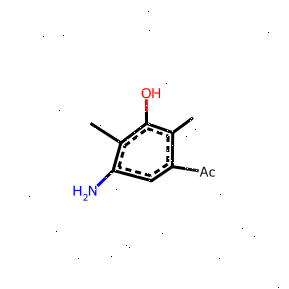 CC(=O)c1cc(N)c(C)c(O)c1C